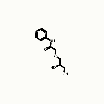 O=C(COCC(O)CO)Nc1ccccc1